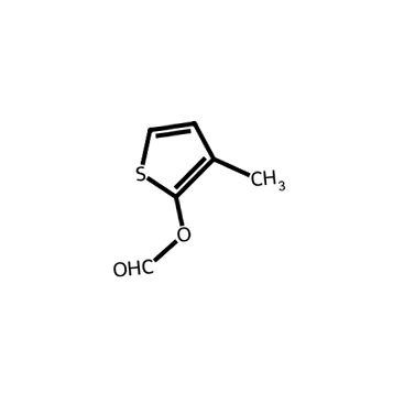 Cc1ccsc1OC=O